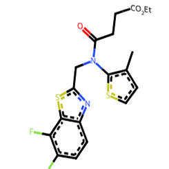 CCOC(=O)CCC(=O)N(Cc1nc2ccc(F)c(F)c2s1)c1sccc1C